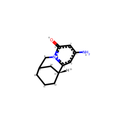 Nc1cc2n(c(=O)c1)CC1CCC[C@@H]2C1